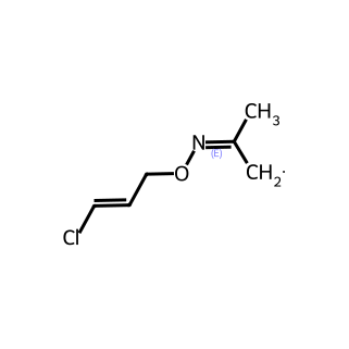 [CH2]/C(C)=N\OCC=CCl